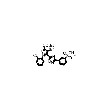 CCOC(=O)c1nn(-c2ccccc2Cl)c(-c2nc(-c3cccc(S(C)(=O)=O)c3)no2)c1Br